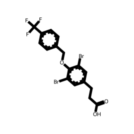 O=C(O)CCc1cc(Br)c(OCc2ccc(C(F)(F)F)cc2)c(Br)c1